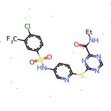 CCNC(=O)c1ncnc(Sc2ccc(NS(=O)(=O)c3ccc(Cl)c(C(F)(F)F)c3)cn2)n1